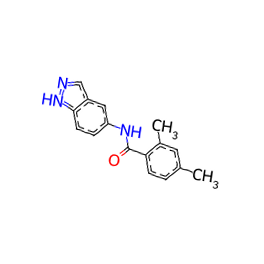 Cc1ccc(C(=O)Nc2ccc3[nH]ncc3c2)c(C)c1